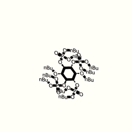 CCCCO[C@@H]1[C@@H](OP(=O)(OCCCC)OCCCC)[C@H](OP(=O)(OCCCC)OCCCC)[C@H](OCCCC)[C@H](OP(=O)(OCCCC)OCCCC)[C@H]1OP(=O)(OCCCC)OCCCC